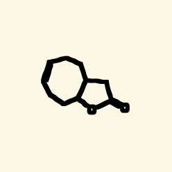 O=C1CC2CC/C=C\CCC2O1